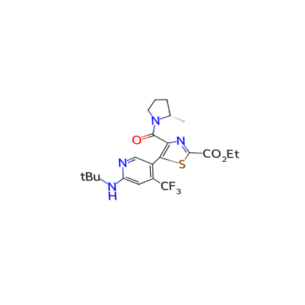 CCOC(=O)c1nc(C(=O)N2CCC[C@@H]2C)c(-c2cnc(NC(C)(C)C)cc2C(F)(F)F)s1